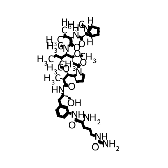 CC[C@H](C)[C@@H]([C@@H](CC(=O)N1CCC[C@H]1[C@H](OC)[C@@H](C)C(=O)N[C@H](CO)Cc1cccc(NC(=O)[C@@H](N)CCCNC(N)=O)c1)OC)N(C)C(=O)[C@@H](NC(=O)[C@@H]1[C@H]2CC[C@H](C2)N1C)C(C)C